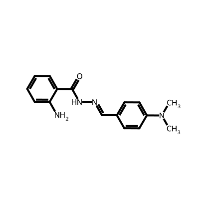 CN(C)c1ccc(C=NNC(=O)c2ccccc2N)cc1